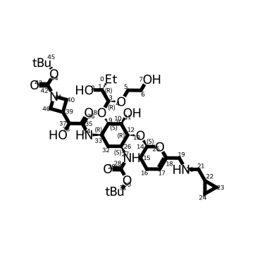 CC[C@@H](O)[C@H](OCCO)O[C@@H]1[C@@H](O)[C@H](O[C@@H]2CCC=C(CNCC3CC3)O2)[C@@H](NC(=O)OC(C)(C)C)C[C@H]1NC(=O)C(O)C1CN(C(=O)OC(C)(C)C)C1